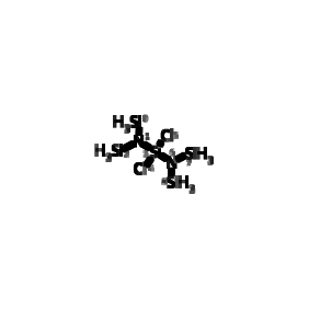 [SiH3]N([SiH3])[Si](Cl)(Cl)N([SiH3])[SiH3]